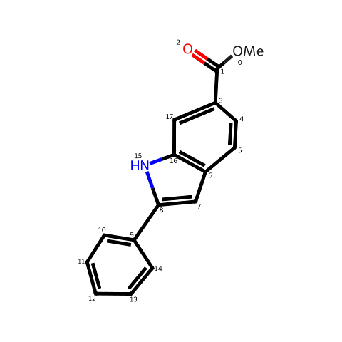 COC(=O)c1ccc2cc(-c3ccccc3)[nH]c2c1